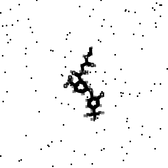 CCOC(=O)CNC(=O)c1cc(Oc2ccc(C(F)(F)F)cc2Cl)ccc1[N+](=O)[O-]